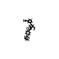 CCc1cc(-c2cccc(C#N)c2)nn1CC(=O)N1CCN(c2ncccn2)CC1